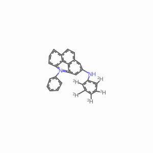 [2H]c1c([2H])c([2H])c(Nc2cc3ccc4cccc5c4c3c(c2)n5-c2ccccc2)c([2H])c1[2H]